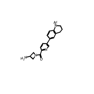 CC(=O)N1CCCc2cc(-c3ccc(C(=O)N4CC(N)C4)nc3)ccc21